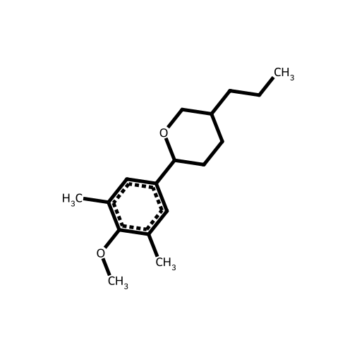 CCCC1CCC(c2cc(C)c(OC)c(C)c2)OC1